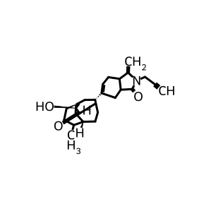 C#CCN1C(=C)C2CC=C([C@@H]3CC[C@@H]4C(C)CC[C@@]5(C3)C[C@H](O)C(=O)[C@@H]45)CC2C1=O